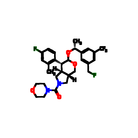 Cc1cc(F)ccc1[C@@H]1[C@@H](O[C@H](C)c2cc(CF)cc(C(F)(F)F)c2)OC[C@@H]2CN(C(=O)N3CCOCC3)C[C@H]21